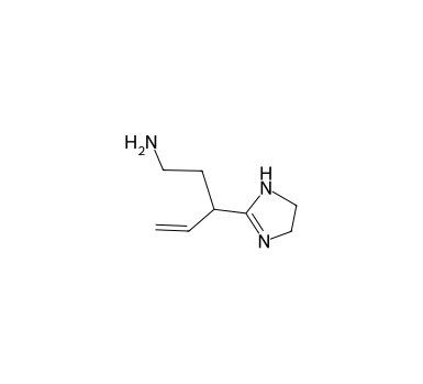 C=CC(CCN)C1=NCCN1